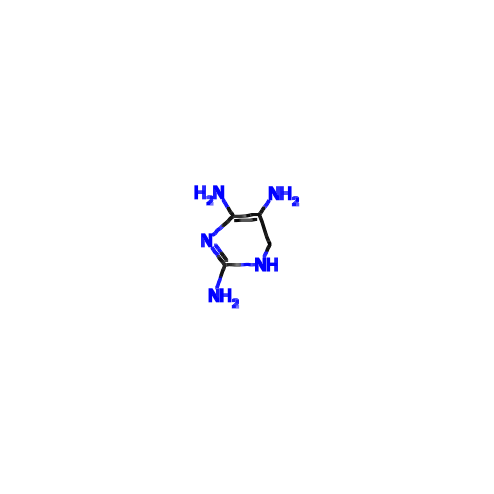 NC1=NC(N)=C(N)CN1